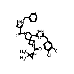 CC1(C)C[C@@H]1C(=O)N1CC2(CN(C(=O)c3cnn(Cc4ccccc4)c3)CC2c2nnc(Cc3ccc(Cl)c(Cl)c3)o2)C1